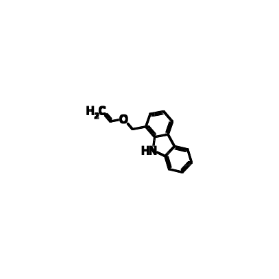 C=COCc1cccc2c1[nH]c1ccccc12